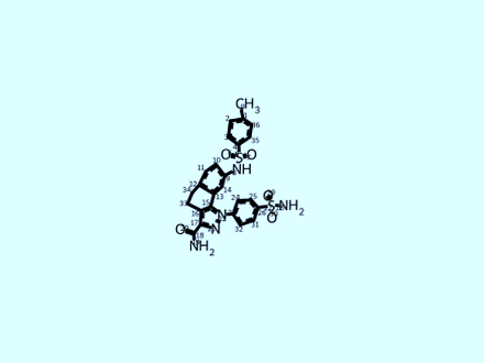 Cc1ccc(S(=O)(=O)Nc2ccc3c(c2)-c2c(c(C(N)=O)nn2-c2ccc(S(N)(=O)=O)cc2)CC3)cc1